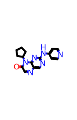 O=c1cnc2cnc(Nc3ccncc3)nc2n1C1CCCC1